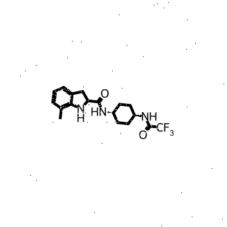 Cc1cccc2c1NC(C(=O)N[C@H]1CC[C@H](NC(=O)C(F)(F)F)CC1)C2